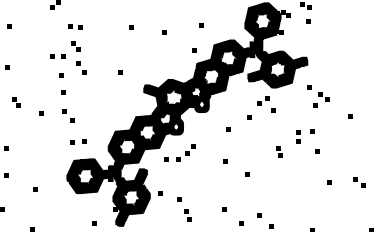 Cc1ccc(C)c(N(c2ccccc2)c2ccc3cc4c(cc3c2)oc2c4cc(C)c3c4cc5ccc(N(c6ccccc6)c6cc(C)ccc6C)cc5cc4oc23)c1